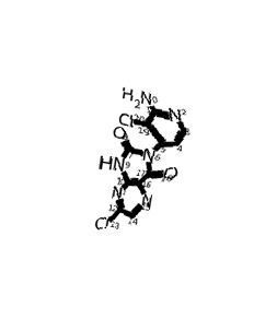 Nc1nccc(-n2c(=O)[nH]c3nc(Cl)cnc3c2=O)c1Cl